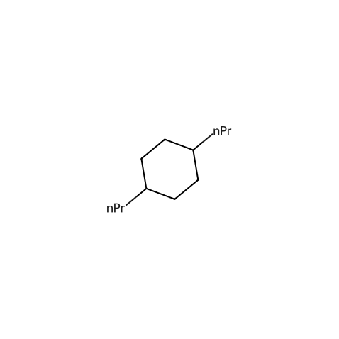 [CH2]CCC1CCC(CCC)CC1